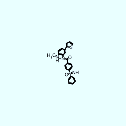 CNc1ccc(-c2cccs2)cc1NC(=O)c1ccc(S(=N)(=O)c2ccccc2)cc1